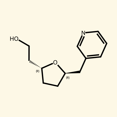 OCC[C@H]1CC[C@H](Cc2cccnc2)O1